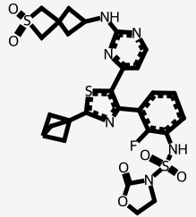 O=C1OCCN1S(=O)(=O)Nc1cccc(-c2nc(C34CC(C3)C4)sc2-c2ccnc(NC3CC4(C3)CS(=O)(=O)C4)n2)c1F